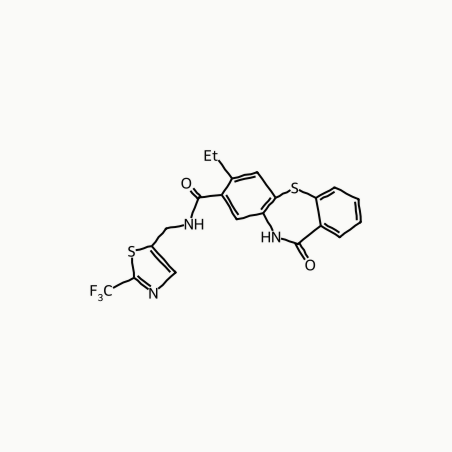 CCc1cc2c(cc1C(=O)NCc1cnc(C(F)(F)F)s1)NC(=O)c1ccccc1S2